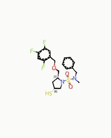 CN(Cc1ccccc1)S(=O)(=O)N1C[C@H](S)C[C@H]1COCc1cc(F)c(F)cc1F